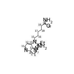 CCC1=NC23C(=CC=CN2N)N=CC=C3N1CCCCCC(N)=O